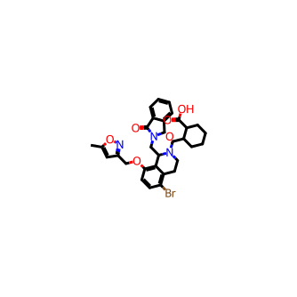 Cc1cc(COc2ccc(Br)c3c2C(CN2Cc4ccccc4C2=O)N(C(=O)C2CCCCC2C(=O)O)CC3)no1